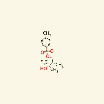 Cc1ccc(S(=O)(=O)OC[C@H](C)[C@@](C)(O)C(F)(F)F)cc1